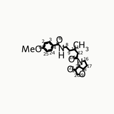 COc1ccc(C(=O)NCCC(C)CC(=O)N2CCC3OCC(=O)C32)cc1